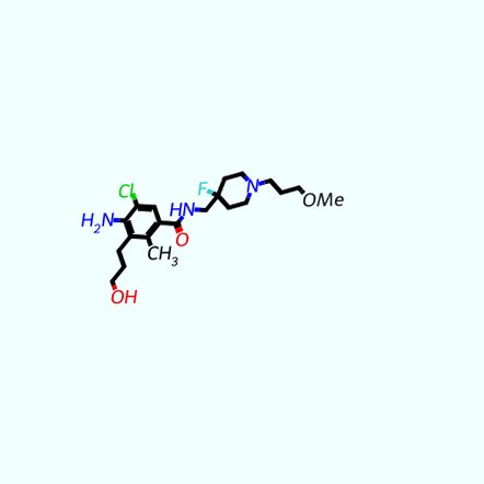 COCCCN1CCC(F)(CNC(=O)c2cc(Cl)c(N)c(CCCO)c2C)CC1